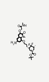 CNC(=O)COc1cc2cc(N)cc(OCCC[C@H]3CN(C(=O)OC(C)(C)C)C[C@@H](C)C3(F)F)c2n(C)c1=O